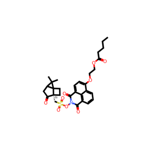 CCCCC(=O)OCCOc1ccc2c3c(cccc13)C(=O)N(OS(=O)(=O)C[C@@]13CCC14C(CC3=O)C4(C)C)C2=O